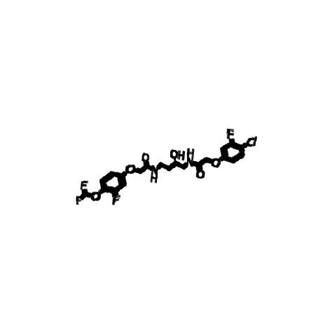 O=C(COc1ccc(OC(F)F)c(F)c1)NCC[C@H](O)CNC(=O)COc1ccc(Cl)c(F)c1